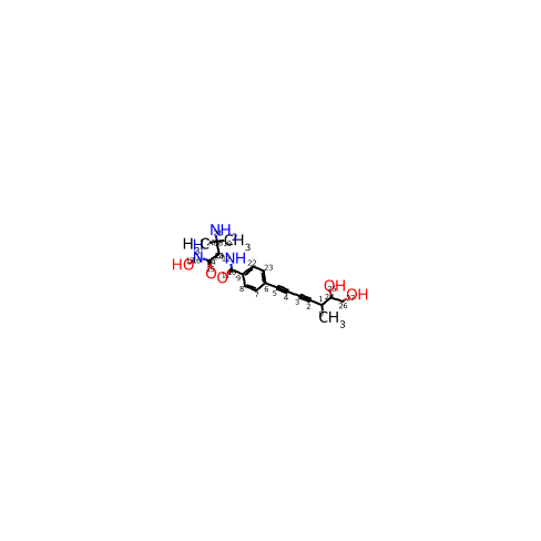 CC(C#CC#Cc1ccc(C(=O)N[C@H](C(=O)NO)C(C)(C)N)cc1)C(O)CO